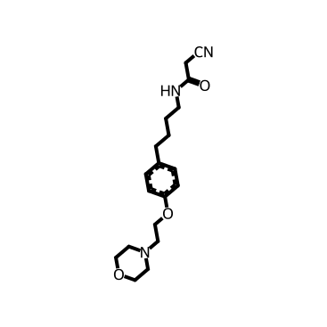 N#CCC(=O)NCCCCc1ccc(OCCN2CCOCC2)cc1